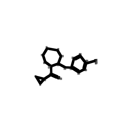 O=C(C1CC1)N1CCCCCC1Cc1ccc(Cl)cc1